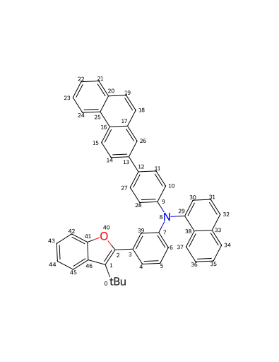 CC(C)(C)c1c(-c2cccc(N(c3ccc(-c4ccc5c(ccc6ccccc65)c4)cc3)c3cccc4ccccc34)c2)oc2ccccc12